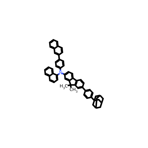 CC1(C)c2cc(-c3ccc(C45CC6CC(CC(C6)C4)C5)cc3)ccc2-c2ccc(N(c3ccc(-c4ccc5ccccc5c4)cc3)c3cccc4ccccc34)cc21